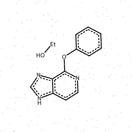 CCO.c1ccc(Oc2nccc3[nH]cnc23)cc1